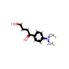 CN(C)c1ccc(C(=O)CCCO)cc1